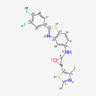 Cc1nc(C)c(C2OC2Nc2ccc3sc(-c4ccc(F)c(F)c4)nc3c2)s1